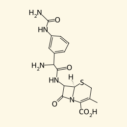 CC1=C(C(=O)O)N2C(=O)C(NC(=O)C(N)c3cccc(NC(N)=O)c3)[C@H]2SC1